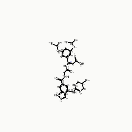 O=C(O)/C=C(/NC(=O)CNC(=O)c1cc(NC2=NCC(F)CN2)c2cn[nH]c2c1)c1cc(OC(F)F)cc(OC(F)F)c1